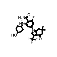 CC1(C)CC(=O)c2c(C(F)(F)F)cn(-c3cc(F)c(C(N)=O)c(NC4CCC(O)CC4)c3)c2C1